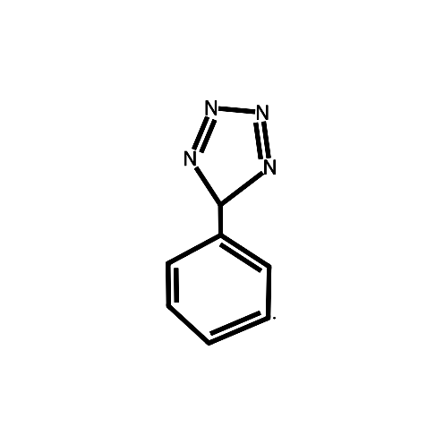 [c]1cccc(C2N=NN=N2)c1